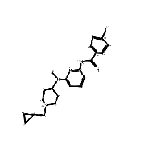 CN(c1cccc(NC(=O)c2ccc(F)cc2)n1)C1CCN(CC2CC2)CC1